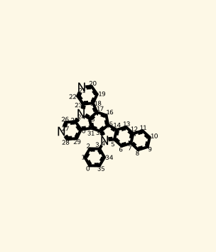 c1ccc(-n2c3cc4ccccc4cc3c3cc4c5ccncc5n5c6cnccc6c(c32)c45)cc1